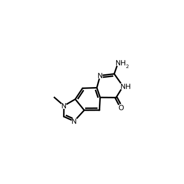 Cn1cnc2cc3c(=O)[nH]c(N)nc3cc21